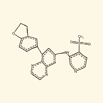 CS(=O)(=O)c1ccncc1Nc1cc(-c2ccc3c(c2)CCO3)c2nccnc2c1